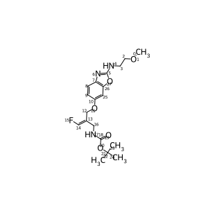 COCCNc1nc2ccc(OC/C(=C\F)CNC(=O)OC(C)(C)C)cc2o1